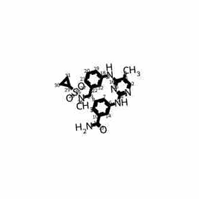 Cc1cnc(Nc2cccc(C(N)=O)c2)nc1Nc1cccc(CN(C)S(=O)(=O)C2CC2)c1